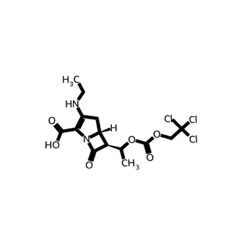 CCNC1=C(C(=O)O)N2C(=O)[C@H](C(C)OC(=O)OCC(Cl)(Cl)Cl)[C@H]2C1